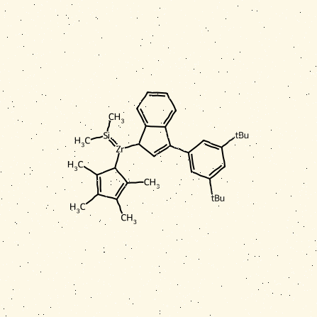 CC1=C(C)[CH]([Zr]([CH]2C=C(c3cc(C(C)(C)C)cc(C(C)(C)C)c3)c3ccccc32)=[Si](C)C)C(C)=C1C